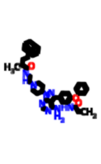 C=CC(=O)Nc1cc(-c2nn(C3CCN(CCNC(=O)[C@H](C)CCC45CC6CC(CC(C6)C4)C5)CC3)c3ncnc(N)c23)ccc1Oc1ccccc1